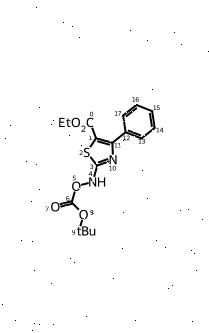 CCOC(=O)c1sc(NOC(=O)OC(C)(C)C)nc1-c1ccccc1